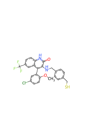 COc1ccc(Cl)cc1-c1c(NCc2ccc(CS)cc2)c(=O)[nH]c2ccc(C(F)(F)F)cc12